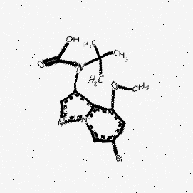 COc1cc(Br)cn2ncc(N(C(=O)O)C(C)(C)C)c12